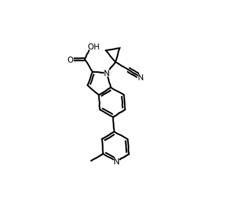 Cc1cc(-c2ccc3c(c2)cc(C(=O)O)n3C2(C#N)CC2)ccn1